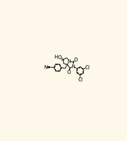 N#Cc1ccc(C[C@@]23C[C@@H](O)CN2C(=O)N(c2cc(Cl)cc(Cl)c2)C3=O)cc1